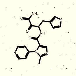 Cc1ncc(C(=O)NC(Cc2ccsc2)C(=O)C(N)=O)n1-c1ccncc1